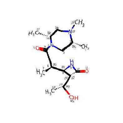 C[C@@H]1CN(C(=O)[C@H](C)[C@H]2NC(=O)[C@@H]2[C@@H](C)O)[C@H](C)CN1C